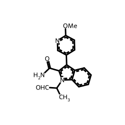 COc1ccc(-c2c(C(N)=O)n(C(C)C=O)c3ccccc23)cn1